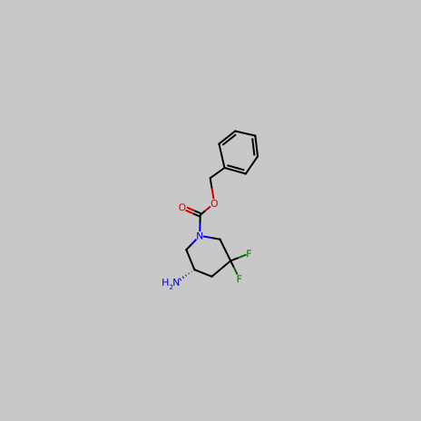 N[C@@H]1CN(C(=O)OCc2ccccc2)CC(F)(F)C1